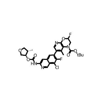 Cc1c(-c2cc3cc(NC(=O)O[C@H]4COC[C@@H]4C)ncc3c(Cl)c2F)cnc2c1N(C(=O)OC(C)(C)C)CC(F)O2